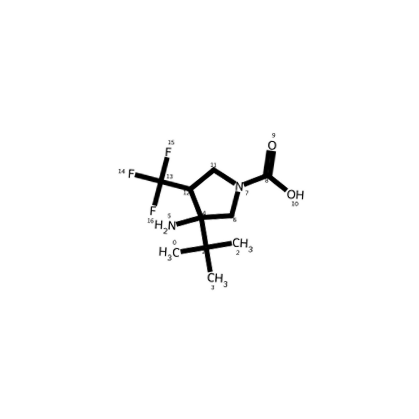 CC(C)(C)C1(N)CN(C(=O)O)CC1C(F)(F)F